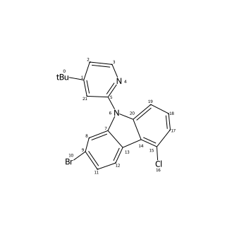 CC(C)(C)c1ccnc(-n2c3cc(Br)ccc3c3c(Cl)cccc32)c1